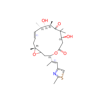 C/C(=C\c1csc(C)n1)[C@@H]1CC2O[C@]2(C)C/C=C/[C@H](C)[C@H](O)[C@@H](C)C(=O)C(C)(C)[C@@H](O)CC(=O)O1